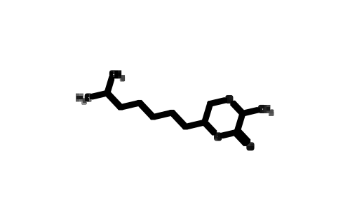 CC(C)CCCCCC1COC(C)C(=O)O1